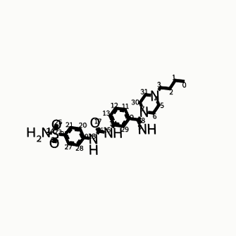 CCCCN1CCN(C(=N)c2cccc(NC(=O)Nc3ccc(S(N)(=O)=O)cc3)c2)CC1